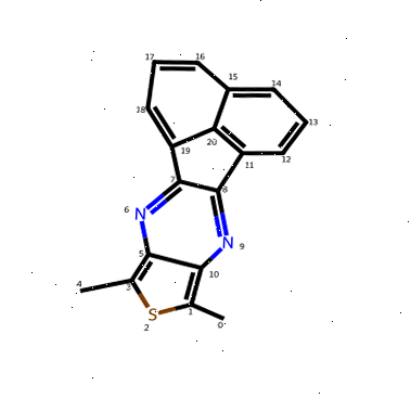 Cc1sc(C)c2nc3c(nc12)-c1cccc2cccc-3c12